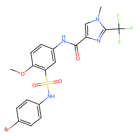 COc1ccc(NC(=O)c2cn(C)c(C(F)(F)F)n2)cc1S(=O)(=O)Nc1ccc(Br)cc1